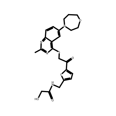 Cc1nc(SCC(=O)c2ccc(CNC(=O)CO)s2)c2cc(N3CCCOCC3)ccc2n1